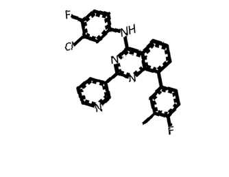 Cc1cc(-c2cccc3c(Nc4ccc(F)c(Cl)c4)nc(-c4cccnc4)nc23)ccc1F